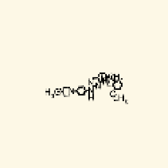 C=C1C=Cc2cnc(Nc3ccc(N4CCN(C)CC4)cc3)nc2N1Cc1c(C)cccc1OC